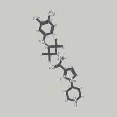 CC1(C)[C@H](NC(=O)c2ccn(C3CCNCC3)n2)C(C)(C)[C@H]1Oc1ccc(C#N)c(Cl)c1